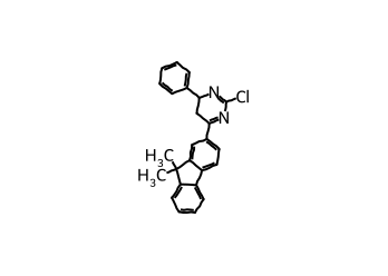 CC1(C)c2ccccc2-c2ccc(C3=NC(Cl)=NC(c4ccccc4)C3)cc21